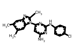 Cc1cc2nc(C)n(-c3cc(N)nc(Nc4ccc(Cl)cc4)n3)c2cc1C